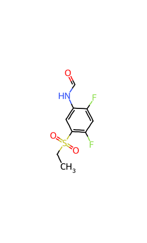 CCS(=O)(=O)c1cc(NC=O)c(F)cc1F